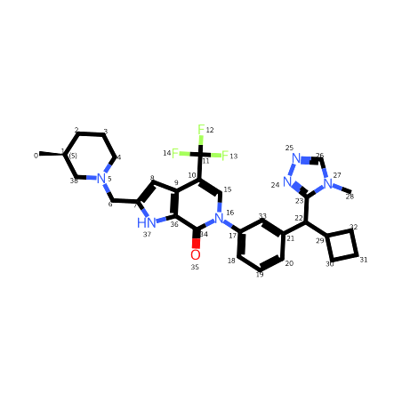 C[C@H]1CCCN(Cc2cc3c(C(F)(F)F)cn(-c4cccc(C(c5nncn5C)C5CCC5)c4)c(=O)c3[nH]2)C1